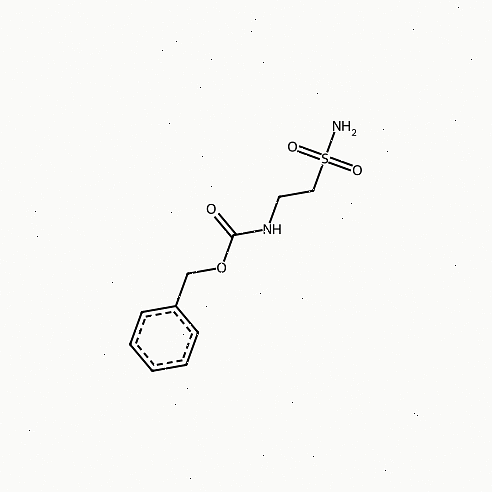 NS(=O)(=O)CCNC(=O)OCc1ccccc1